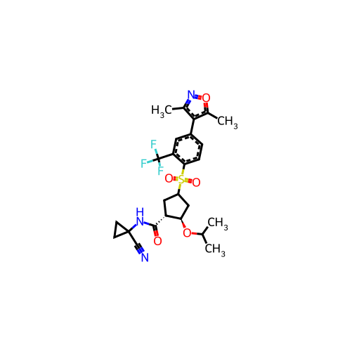 Cc1noc(C)c1-c1ccc(S(=O)(=O)C2C[C@@H](OC(C)C)[C@H](C(=O)NC3(C#N)CC3)C2)c(C(F)(F)F)c1